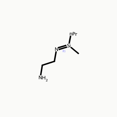 CCC/[Si](C)=N/CCN